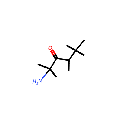 CC(C(=O)C(C)(C)N)C(C)(C)C